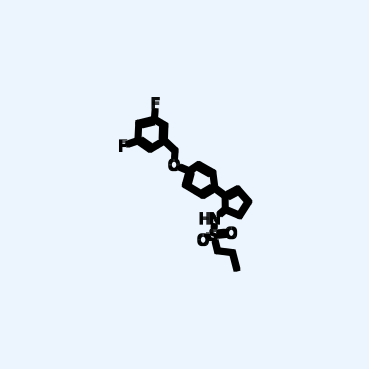 CCCS(=O)(=O)NC1CCC=C1c1ccc(OCc2cc(F)cc(F)c2)cc1